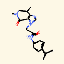 Cc1cn(C)c(=O)c2c1ncn2CC(=O)Nc1ccc(C(C)C)cc1